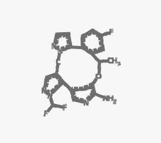 CC1Oc2cc(cnc2N)-c2c(cnn2C(F)F)Cn2nccc2-c2ccc(F)cc21